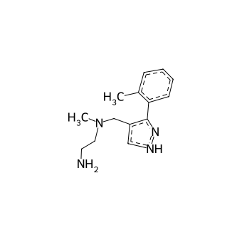 Cc1ccccc1-c1n[nH]cc1CN(C)CCN